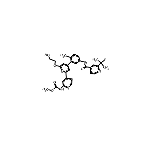 COC(=O)Nc1cc(-c2cc(-c3cc(NC(=O)c4ccnc(C(C)(C)F)c4)ccc3C)cc(OCCO)n2)ccn1